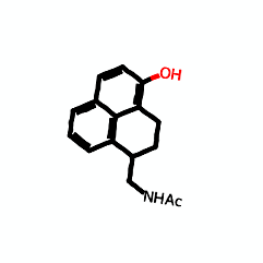 CC(=O)NCC1CCc2c(O)ccc3cccc1c23